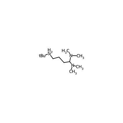 CN(C)C(CCC[SiH2]C(C)(C)C)N(C)C